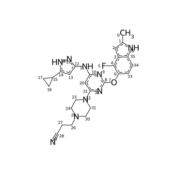 Cc1cc2c(F)c(Oc3nc(Nc4cc(C5CC5)[nH]n4)cc(N4CCN(CCC#N)CC4)n3)ccc2[nH]1